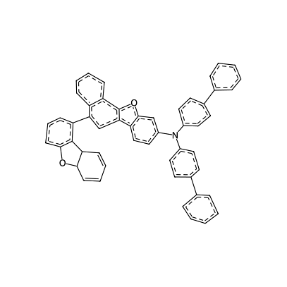 C1=CC2Oc3cccc(-c4cc5c6ccc(N(c7ccc(-c8ccccc8)cc7)c7ccc(-c8ccccc8)cc7)cc6oc5c5ccccc45)c3C2C=C1